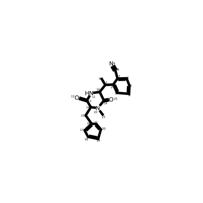 CC(c1ccccc1C#N)C1NC(=O)C(Cc2ccccc2)N(C)C1=O